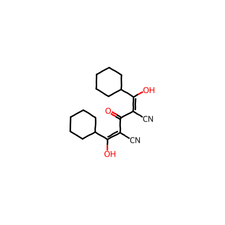 N#C/C(C(=O)/C(C#N)=C(/O)C1CCCCC1)=C(\O)C1CCCCC1